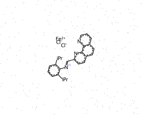 CC(C)c1cccc(C(C)C)c1/N=C/c1ccc2ccc3cccnc3c2n1.[Cl-].[Cl-].[Fe+2]